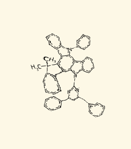 CC1(C)c2ccccc2-c2c1c1c3ccccc3n(-c3ccccc3)c1c1c3ccccc3n(-c3nc(-c4ccccc4)cc(-c4ccccc4)n3)c21